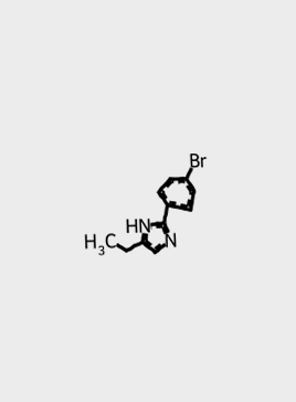 CCc1cnc(-c2ccc(Br)cc2)[nH]1